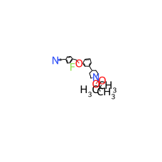 CC(C)(C)OC(=O)N1CCC(c2cccc(OCc3ccc(C#N)cc3F)c2)CC1